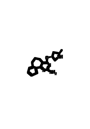 C[C@@H]1C[C@@H](Oc2nc(N)nc3c2CCCc2ccccc2-3)CN1